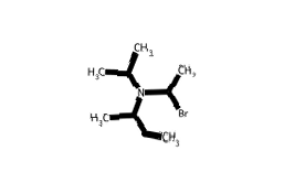 CCC(C)N(C(C)C)C(C)Br